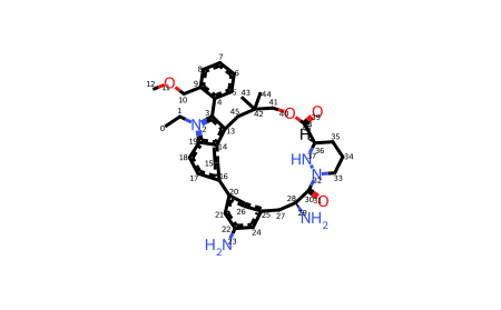 CCn1c(-c2ccccc2COC)c2c3cc(ccc31)-c1cc(N)cc(c1)C[C@H](N)C(=O)N1CCC[C@H](N1)C(=O)OCC(C)(C)C2